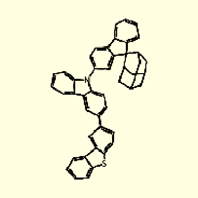 c1ccc2c(c1)-c1ccc(-n3c4ccccc4c4cc(-c5ccc6sc7ccccc7c6c5)ccc43)cc1C21C2CC3CC(C2)CC1C3